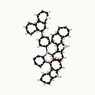 c1ccc(N(c2ccc(-c3cc4ccccc4c4ccccc34)cc2)c2cccc3oc4c5ccccc5ccc4c23)c(-c2cccc3sc4ccccc4c23)c1